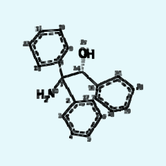 NC(c1ccccc1)(c1ccccc1)[C@H](O)c1ccccc1